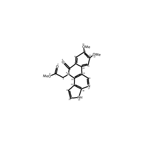 COC(=O)Cn1c(=O)c2cc(OC)c(OC)cc2c2cnc3[nH]ccc3c21